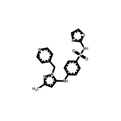 Cc1cc(Nc2ccc(S(=O)(=O)Nc3nccs3)cc2)n(Cc2ccncc2)n1